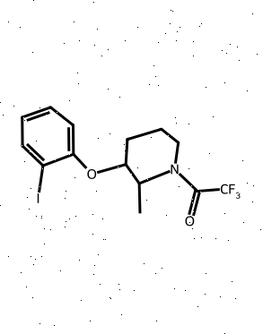 CC1C(Oc2ccccc2I)CCCN1C(=O)C(F)(F)F